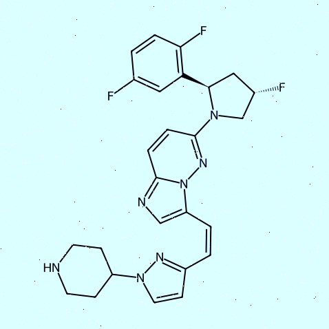 Fc1ccc(F)c([C@H]2C[C@H](F)CN2c2ccc3ncc(/C=C\c4ccn(C5CCNCC5)n4)n3n2)c1